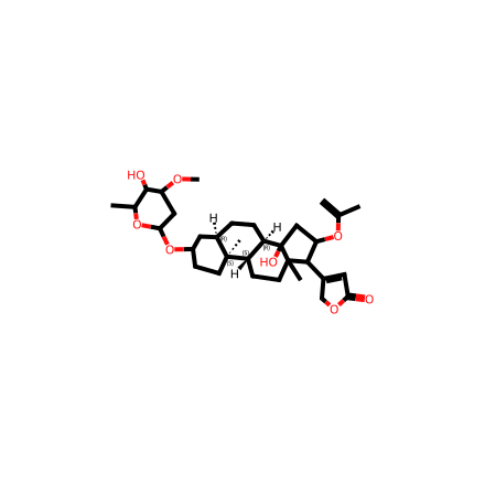 C=C(C)OC1CC2(O)[C@@H]3CC[C@@H]4CC(OC5CC(OC)C(O)C(C)O5)CC[C@]4(C)[C@H]3CCC2(C)C1C1=CC(=O)OC1